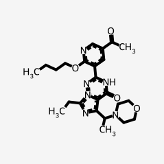 CCCCOc1ncc(C(C)=O)cc1-c1nn2c(CC)nc(C(C)N3CCOCC3)c2c(=O)[nH]1